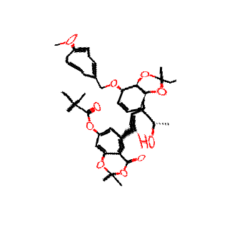 COc1ccc(CO[C@H](/C=C\[C@@H](C)[C@H](C)O)[C@H]2OC(C)(C)O[C@H]2C/C=C/c2cc(OC(=O)C(C)(C)C)cc3c2C(=O)OC(C)(C)O3)cc1